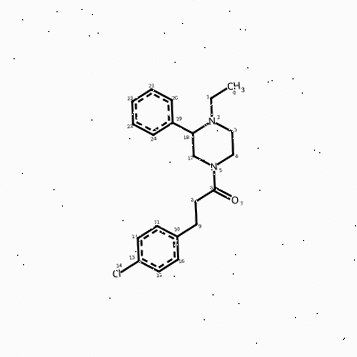 CCN1CCN(C(=O)CCc2ccc(Cl)cc2)CC1c1ccccc1